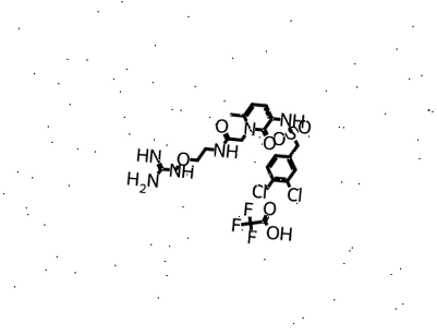 Cc1ccc(NS(=O)(=O)Cc2ccc(Cl)c(Cl)c2)c(=O)n1CC(=O)NCCONC(=N)N.O=C(O)C(F)(F)F